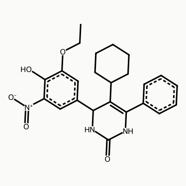 CCOc1cc(C2NC(=O)NC(c3ccccc3)=C2C2CCCCC2)cc([N+](=O)[O-])c1O